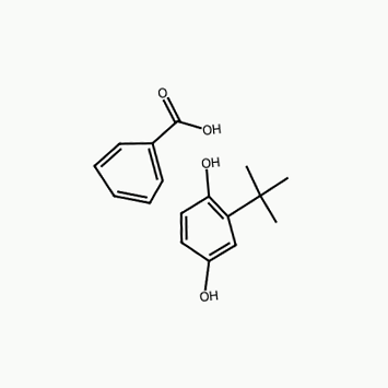 CC(C)(C)c1cc(O)ccc1O.O=C(O)c1ccccc1